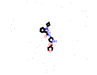 O=C(NC1CC[C@@H](CC2(O)CCOCC2)NC1)c1nn(C2CCC2)c2ccccc12